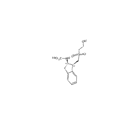 O=C(O)N[C@@H]1Cc2ccccc2[C@@H]1CS(=O)(=O)CCO